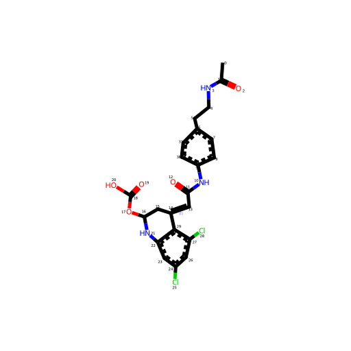 CC(=O)NCCc1ccc(NC(=O)/C=C2\CC(OC(=O)O)Nc3cc(Cl)cc(Cl)c32)cc1